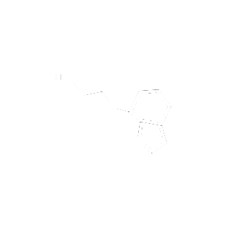 COCOc1cccc2ccsc12